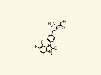 Cn1c(=O)n(-c2ccc(CC[C@H](N)C(=O)O)cc2)c2c(F)c(F)ccc21